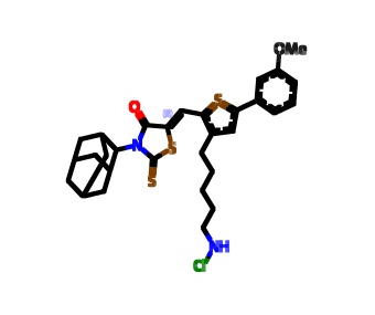 COc1cccc(-c2cc(CCCCCNCl)c(/C=C3\SC(=S)N(C4C5CC6CC(C5)CC4C6)C3=O)s2)c1